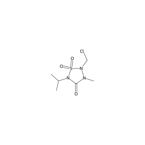 CC(C)N1C(=O)N(C)N(CCl)S1(=O)=O